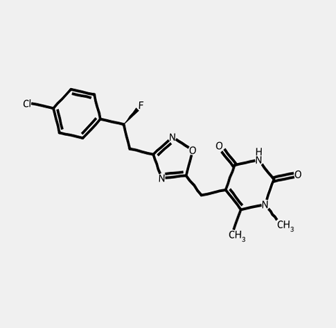 Cc1c(Cc2nc(C[C@H](F)c3ccc(Cl)cc3)no2)c(=O)[nH]c(=O)n1C